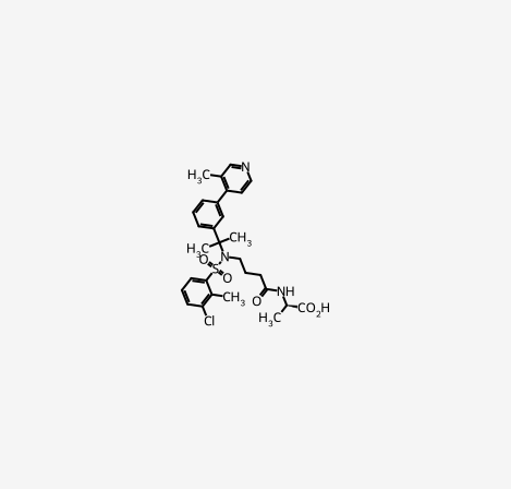 Cc1cnccc1-c1cccc(C(C)(C)N(CCCC(=O)N[C@H](C)C(=O)O)S(=O)(=O)c2cccc(Cl)c2C)c1